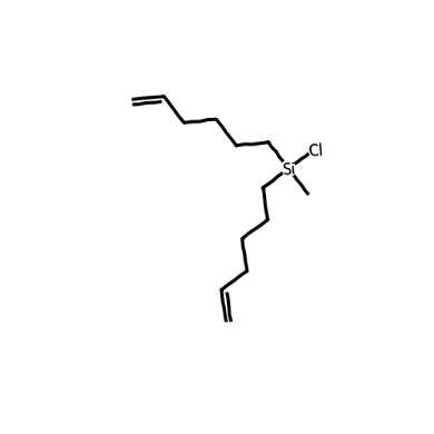 C=CCCCC[Si](C)(Cl)CCCCC=C